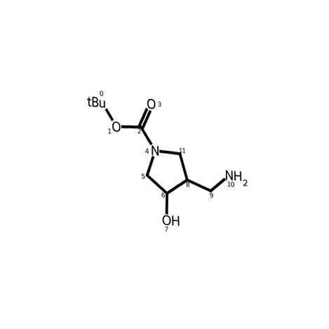 CC(C)(C)OC(=O)N1CC(O)C(CN)C1